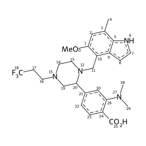 COc1cc(C)c2[nH]ccc2c1CN1CCN(CCC(F)(F)F)CC1c1ccc(C(=O)O)c(N(C)C)c1